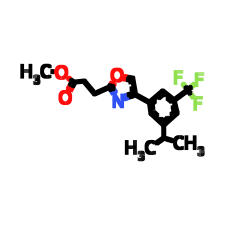 COC(=O)CCc1nc(-c2cc(C(C)C)cc(C(F)(F)F)c2)co1